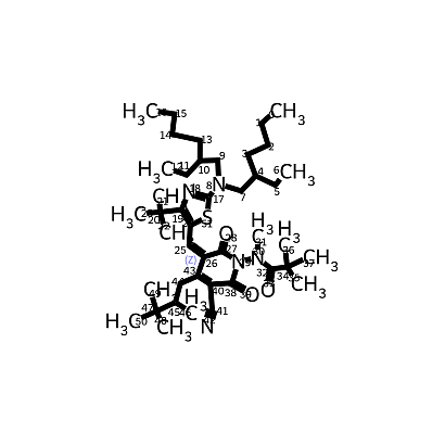 CCCCC(CC)CN(CC(CC)CCCC)c1nc(C(C)(C)C)c(/C=C2\C(=O)N(N(C)C(=O)C(C)(C)C)C(=O)C(C#N)=C2CC(C)C(C)(C)C)s1